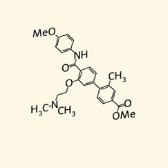 COC(=O)c1ccc(-c2ccc(C(=O)Nc3ccc(OC)cc3)c(OCCN(C)C)c2)c(C)c1